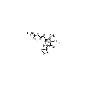 C[C@@H](C(=O)NC1CCC1)N(C)C(=O)/C=C/CN(C)C